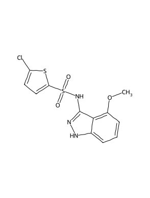 COc1cccc2[nH]nc(NS(=O)(=O)c3ccc(Cl)s3)c12